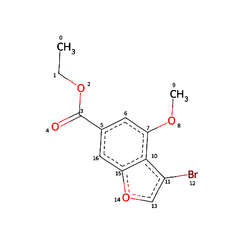 CCOC(=O)c1cc(OC)c2c(Br)coc2c1